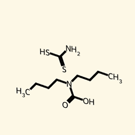 CCCCN(CCCC)C(=O)O.NC(=S)S